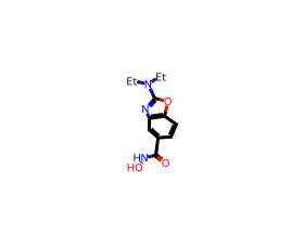 CCN(CC)c1nc2cc(C(=O)NO)ccc2o1